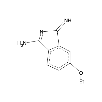 CCOc1ccc2c(c1)C(=N)N=C2N